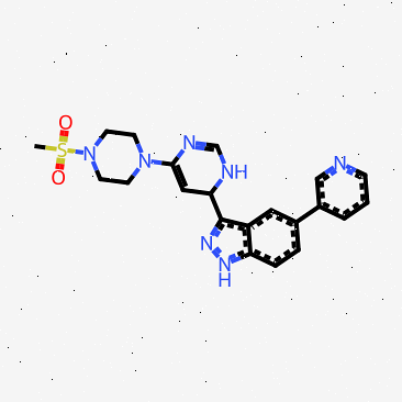 CS(=O)(=O)N1CCN(C2=CC(c3n[nH]c4ccc(-c5cccnc5)cc34)NC=N2)CC1